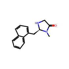 CN1C(=O)CN[C@@H]1Cc1cccc2ccccc12